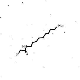 CCCCCCCCCCCCCCCCCCNC(=O)CBr